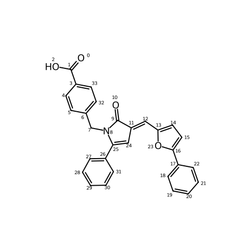 O=C(O)c1ccc(CN2C(=O)/C(=C/c3ccc(-c4ccccc4)o3)C=C2c2ccccc2)cc1